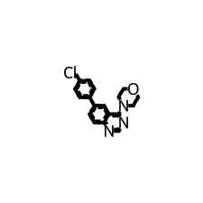 Clc1ccc(-c2ccc3ncnc(N4CCOCC4)c3c2)cc1